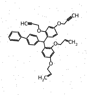 C#CCOc1ccc(C(c2ccc(-c3ccccc3)cc2)c2ccc(OCC=C)cc2OCC=C)c(OCC#C)c1